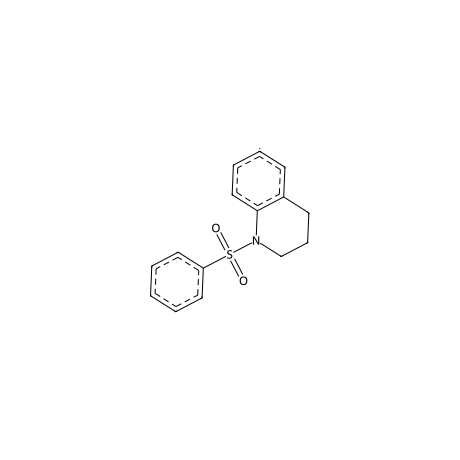 O=S(=O)(c1ccccc1)N1CCCc2c[c]ccc21